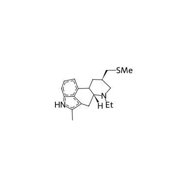 CCN1C[C@H](CSC)CC2c3cccc4[nH]c(C)c(c34)C[C@H]21